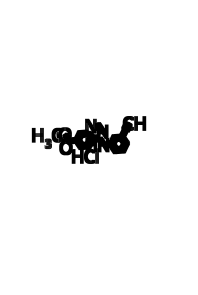 C#Cc1cccc(Nc2ncnc3cc(C(=O)OC)ccc23)c1.Cl